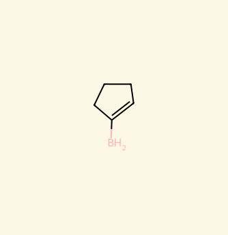 BC1=CCCC1